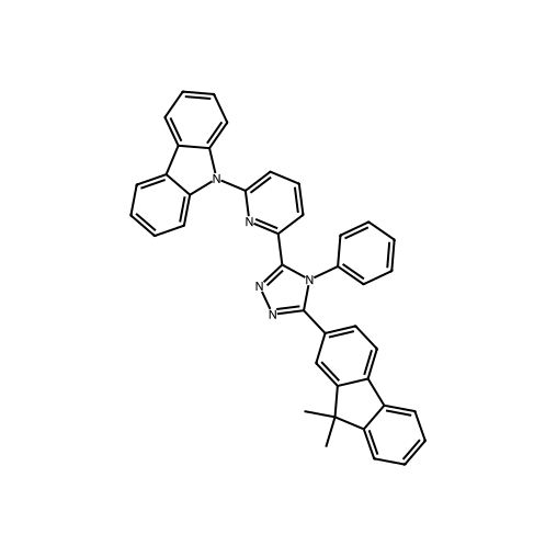 CC1(C)c2ccccc2-c2ccc(-c3nnc(-c4cccc(-n5c6ccccc6c6ccccc65)n4)n3-c3ccccc3)cc21